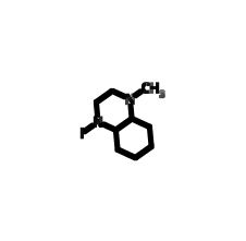 CN1CCN(I)C2CCCCC21